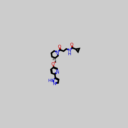 O=C(NCCC(=O)N1CCC[C@@H](COc2ccc(-c3ccn[nH]3)nc2)C1)C1CC1